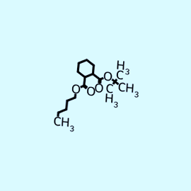 CCCCCOC(=O)C1CCCCC1C(=O)OC(C)(C)C